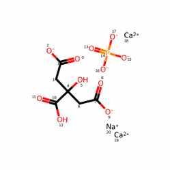 O=C([O-])CC(O)(CC(=O)[O-])C(=O)O.O=P([O-])([O-])[O-].[Ca+2].[Ca+2].[Na+]